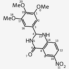 COc1cc(C2NC(=O)c3cc([N+](=O)[O-])ccc3N2)cc(OC)c1OC